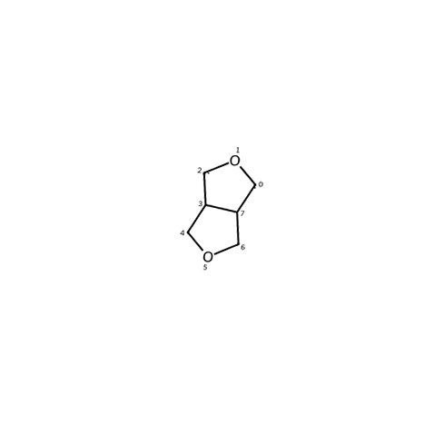 [CH]1O[CH]C2COCC12